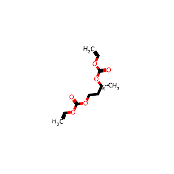 C=COC(=O)OCC[C@@H](C)OC(=O)OC=C